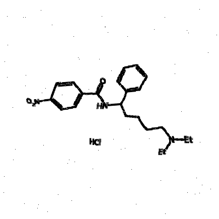 CCN(CC)CCCCC(NC(=O)c1ccc([N+](=O)[O-])cc1)c1ccccc1.Cl